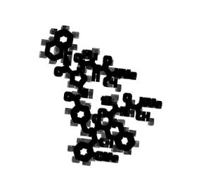 CNC(C)C(=O)NC(C(=O)N1Cc2ccccc2CC1C(=O)N(Cc1ccc(C(=O)N[C@H]2C[C@@H](C(=O)N[C@@H]3CCCc4ccccc43)N(C(=O)C(NC(=O)C(C)NC)C(C)(C)C)C2)cc1)[C@H](C)c1ccccc1OC)C(C)(C)C